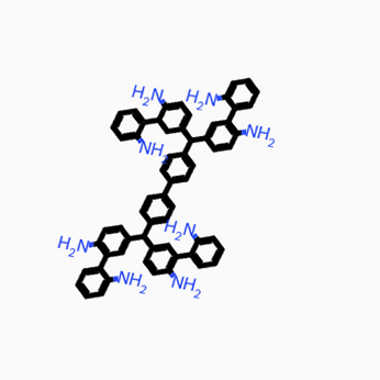 NC1=CC=C(C(c2ccc(-c3ccc(C(c4ccc(N)c(-c5ccccc5N)c4)c4ccc(N)c(-c5ccccc5N)c4)cc3)cc2)c2ccc(N)c(-c3ccccc3N)c2)CC1c1ccccc1N